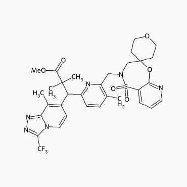 COC(=O)C(C)(C)C(c1ccc(C)c(CN2CC3(CCOCC3)Oc3ncccc3S2(=O)=O)n1)c1ccn2c(C(F)(F)F)nnc2c1C